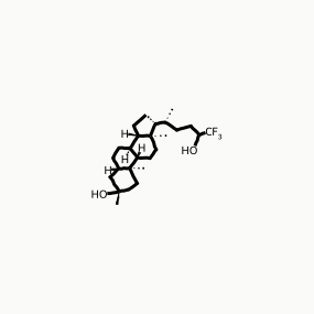 C[C@H](CCC(O)C(F)(F)F)[C@H]1CC[C@H]2[C@@H]3CC[C@H]4C[C@@](C)(O)CC[C@]4(C)[C@H]3CC[C@]12C